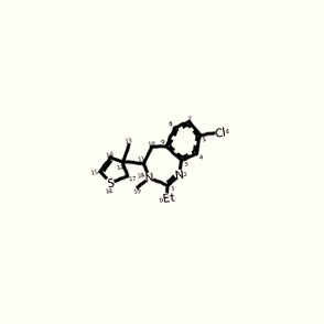 CCC1=Nc2cc(Cl)ccc2CC(C2(C)C=CSC2)N1C